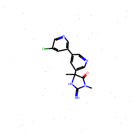 CN1C(=N)NC(C)(c2cncc(-c3cncc(Cl)c3)c2)C1=O